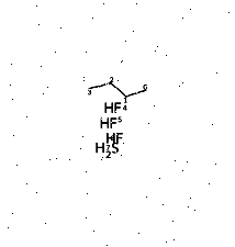 CCCC.F.F.F.S